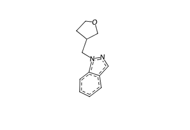 c1ccc2c(c1)cnn2CC1CCOC1